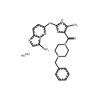 Cc1[nH]c(Sc2ccc3ncc([N+](=O)[O-])n3n2)nc1C(=O)N1CCN(Cc2ccccc2)CC1.Cl.Cl